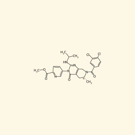 COC(=O)c1ccc(-n2c(NC(C)C)nc3c(c2=O)C[C@@H](C)N(C(=O)c2ccc(Cl)c(Cl)c2)C3)cn1